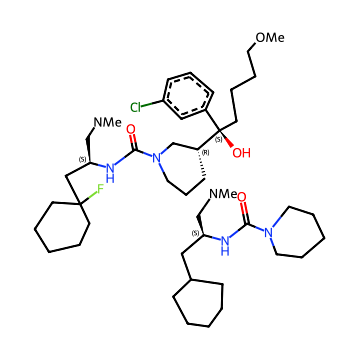 CNC[C@H](CC1(F)CCCCC1)NC(=O)N1CCC[C@@H]([C@@](O)(CCCCOC)c2cccc(Cl)c2)C1.CNC[C@H](CC1CCCCC1)NC(=O)N1CCCCC1